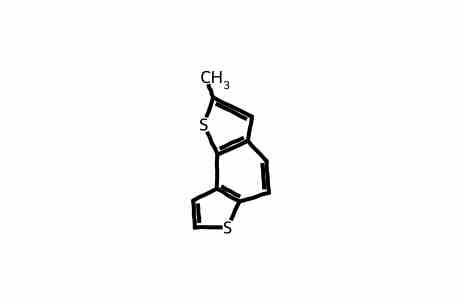 Cc1cc2ccc3sccc3c2s1